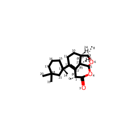 C[C@H]1C(=O)OC2O[C@@H](C)[C@@H]3CCC([C@@]4(C)CCCC(C)(C)C4)=C1[C@H]23